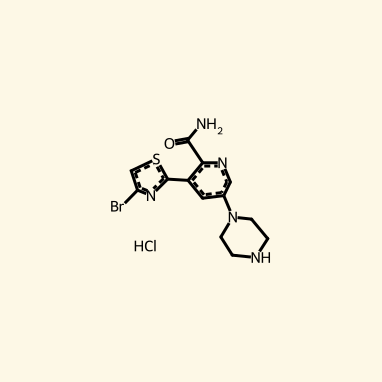 Cl.NC(=O)c1ncc(N2CCNCC2)cc1-c1nc(Br)cs1